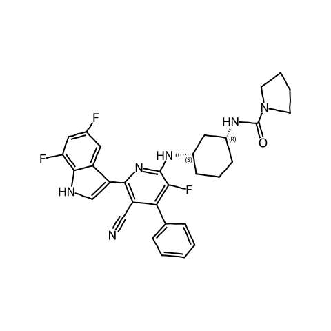 N#Cc1c(-c2c[nH]c3c(F)cc(F)cc23)nc(N[C@H]2CCC[C@@H](NC(=O)N3CCCC3)C2)c(F)c1-c1ccccc1